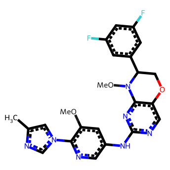 COc1cc(Nc2ncc3c(n2)N(OC)C(c2cc(F)cc(F)c2)CO3)cnc1-n1cnc(C)c1